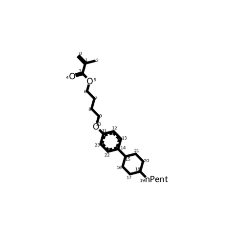 C=C(C)C(=O)OCCCCOc1ccc(C2CCC(CCCCC)CC2)cc1